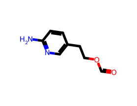 Nc1ccc(CCOC=O)cn1